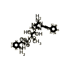 CO[C@H](COS(=O)(=O)NC(=O)c1ccccc1N)[C@@H](O)[C@@H](O)n1cnc2c(N)nc(C#Cc3ccccc3)nc21